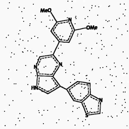 COc1cc(-c2cnc3[nH]cc(-c4ccc5ncsc5c4)c3n2)cc(OC)n1